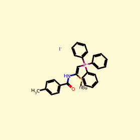 CCCCSC(=C[P+](c1ccccc1)(c1ccccc1)c1ccccc1)NC(=O)c1ccc(C)cc1.[I-]